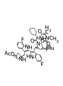 CC(=O)O[C@@H]1CN[C@H](Cc2c(-c3[nH]c4cc(F)ccc4c3C[C@@H]3C[C@H](F)CN3C(=O)[C@@H](NC(=O)[C@H](C)N(C)C(=O)OC(C)(C)C)C3CCCCC3)[nH]c3c(F)cccc23)C1